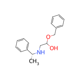 C[C@@H](NCC(O)OCc1ccccc1)c1ccccc1